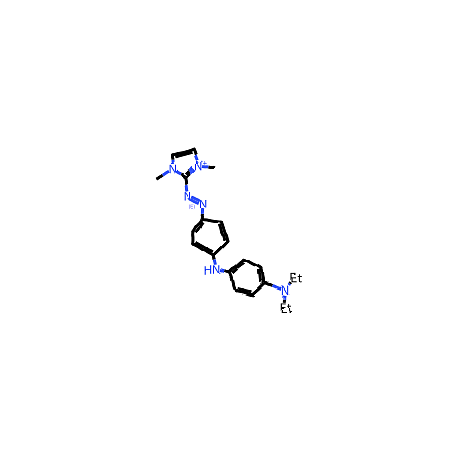 CCN(CC)c1ccc(Nc2ccc(/N=N/c3n(C)cc[n+]3C)cc2)cc1